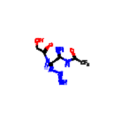 N=N/N=C(/NC(=O)CO)C(=N)NC(=O)C(F)(F)F